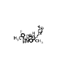 Cc1cc(F)ccc1Nc1nc2ccc3c(C)c(/C=C/CN4CCP(=O)(C5CC5)CC4)[nH]c(=O)c3c2n1C